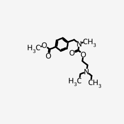 CCN(CC)CCOC(=O)N(C)Cc1ccc(C(=O)OC)cc1